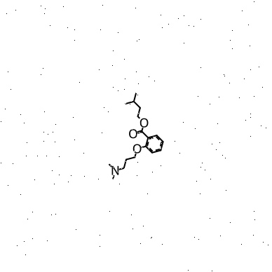 CC(C)CCOC(=O)c1ccccc1OCCCN(C)C